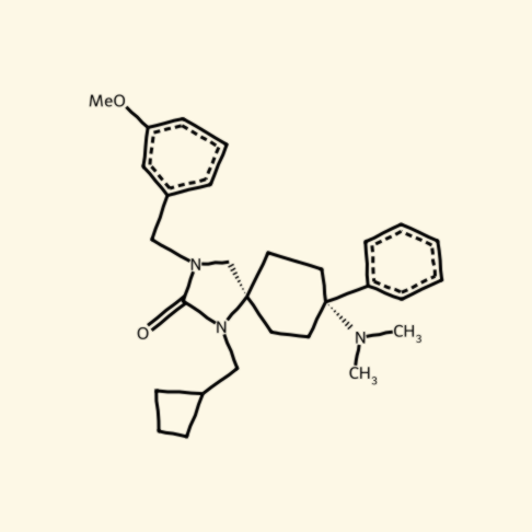 COc1cccc(CN2C[C@]3(CC[C@@](c4ccccc4)(N(C)C)CC3)N(CC3CCC3)C2=O)c1